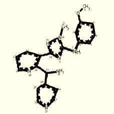 COc1cccc(Nc2nc(-c3cccnc3C(N)c3ccncc3)nn2C)c1